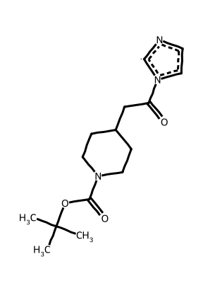 CC(C)(C)OC(=O)N1CCC(CC(=O)n2[c]ncc2)CC1